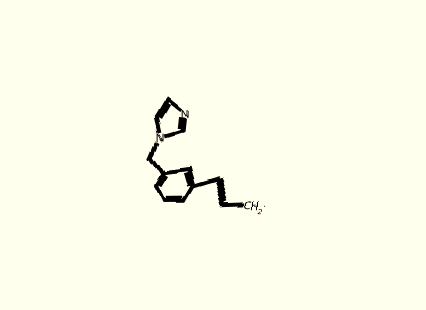 [CH2]/C=C/c1cccc(Cn2ccnc2)c1